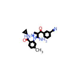 Cc1ccc(C(=O)NC2CC2)c(-n2ncc(C(=O)c3cccc(C#N)c3)c2N)c1